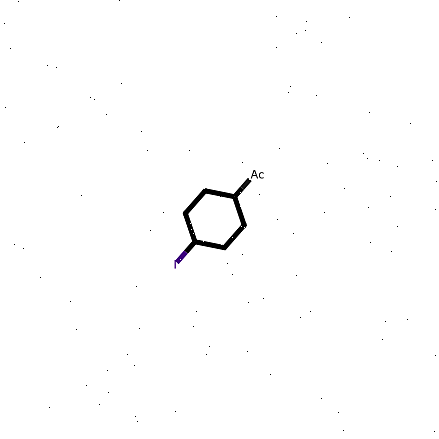 CC(=O)C1CCC(I)CC1